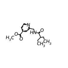 CCC(CC)C(=O)NCc1cc(C(=O)OC)ccn1